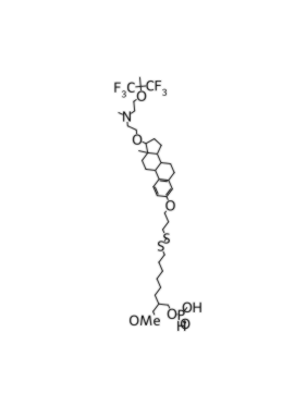 COCC(CCCCCCSSCCCOc1ccc2c(c1)CCC1C2CCC2(C)C(OCCN(C)CCOC(C)(C(F)(F)F)C(F)(F)F)CCC12)CO[PH](=O)O